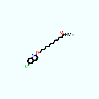 CNC(=O)C=CC=CCCCCCCCOc1ccc2cc(Cl)ccc2n1